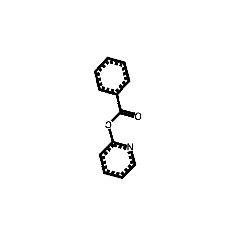 O=C(Oc1ccccn1)c1ccccc1